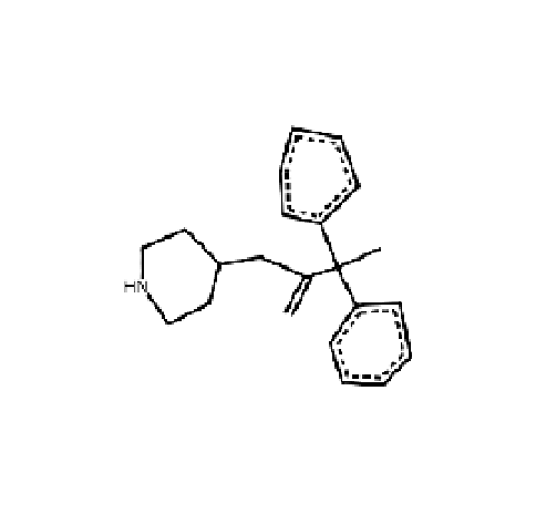 C=C(CC1CCNCC1)C(C)(c1ccccc1)c1ccccc1